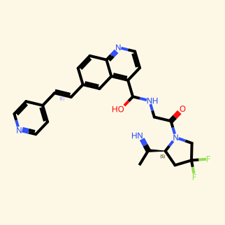 CC(=N)[C@@H]1CC(F)(F)CN1C(=O)CNC(O)c1ccnc2ccc(/C=C/c3ccncc3)cc12